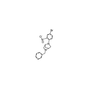 O=[N+]([O-])c1cc(Br)ccc1N1CC2CC1CN2Cc1ccccc1